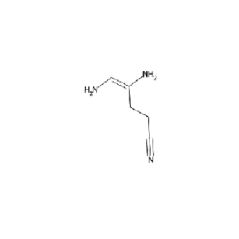 N#CCC/C(N)=C\N